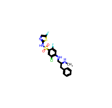 CNC(CNc1cc(F)c(S(=O)(=O)Nc2ncc(F)s2)cc1Cl)Cc1ccccc1